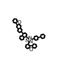 c1ccc(-c2ccc(-c3nc(-c4ccc(-c5ccc6cc7c(cc6c5)oc5ccccc57)c5ccccc45)nc(-c4cccc5oc6ccccc6c45)n3)cc2)cc1